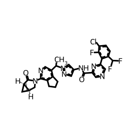 CC(c1cnc(N2C[C@H]3C[C@H]3C2=O)c2c1CCC2)n1cc(NC(=O)c2cncc(-c3c(C(F)F)ccc(Cl)c3F)n2)cn1